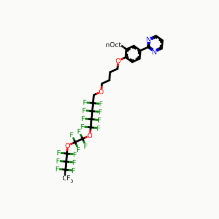 CCCCCCCCc1cc(-c2ncccn2)ccc1OCCCCOCC(F)(F)C(F)(F)C(F)(F)C(F)(F)OC(F)(F)C(F)(F)OC(F)(F)C(F)(F)C(F)(F)C(F)(F)F